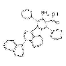 Nc1c(C(=O)O)c(-c2ccccc2)c2c(c1-c1ccccc1)-c1ccc(-c3cccc4ccccc34)c3cccc-2c13